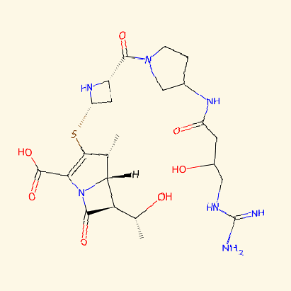 C[C@@H](O)[C@H]1C(=O)N2C(C(=O)O)=C(S[C@H]3C[C@@H](C(=O)N4CCC(NC(=O)CC(O)CNC(=N)N)C4)N3)[C@H](C)[C@H]12